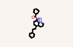 O=C(Nc1ccc(C=Cc2ccccc2)c2cccnc12)c1ccccc1